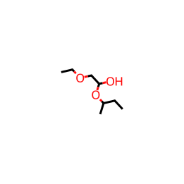 CCOCC(O)OC(C)CC